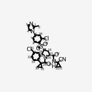 Cc1nccn1-c1ccc(S(=O)(=O)[C@@H]2C[C@@H](C(=O)NC3(C#N)CC3)N(C(=O)C3(c4ccc(Cl)cc4)CC3)C2)c(Cl)c1